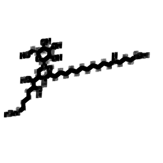 CCCCCCCCCCCCCCC(O)C(O)C(CO[C@H]1O[C@H](CO)[C@H](O)[C@H](O)[C@H]1O)NC(=O)CCCCCCCCCCCNCCCCCCCCCCCCC